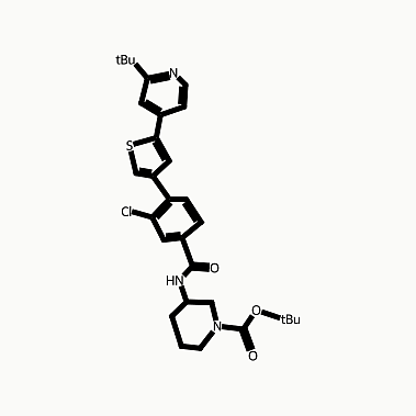 CC(C)(C)OC(=O)N1CCCC(NC(=O)c2ccc(-c3csc(-c4ccnc(C(C)(C)C)c4)c3)c(Cl)c2)C1